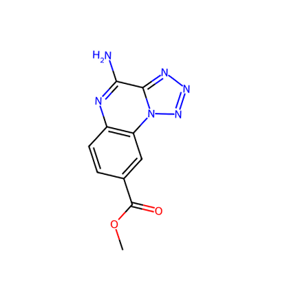 COC(=O)c1ccc2nc(N)c3nnnn3c2c1